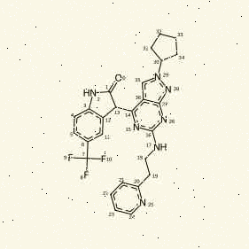 O=C1Nc2ccc(C(F)(F)F)cc2C1c1nc(NCCc2ccccn2)nc2nn(C3CCCC3)cc12